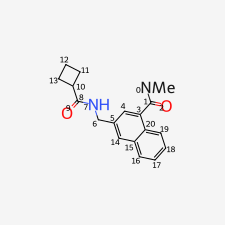 CNC(=O)c1cc(CNC(=O)C2CCC2)cc2ccccc12